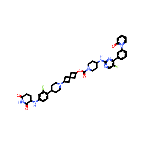 O=C1CCC(Nc2ccc(C3CCN(C4CC5(CC(OC(=O)N6CCC(Nc7ncc(F)c(-c8cccc(-n9ccccc9=O)c8)n7)CC6)C5)C4)CC3)c(F)c2)C(=O)N1